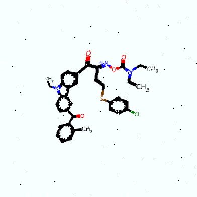 CCN(CC)C(=O)O/N=C(\CCSc1ccc(Cl)cc1)C(=O)c1ccc2c(c1)c1cc(C(=O)c3ccccc3C)ccc1n2CC